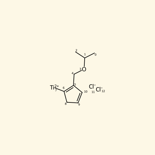 CC(C)OCC1=[C]([Ti+2])CC=C1.[Cl-].[Cl-]